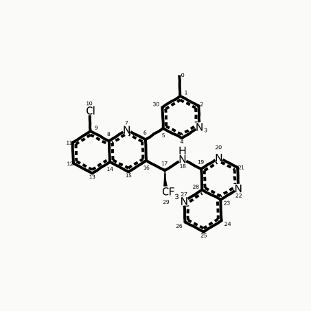 Cc1cncc(-c2nc3c(Cl)cccc3cc2[C@@H](Nc2ncnc3cccnc23)C(F)(F)F)c1